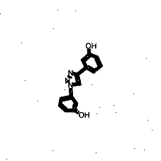 Oc1cccc(-c2cn(-c3cccc(O)c3)nn2)c1